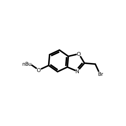 CCCCOc1ccc2oc(CBr)nc2c1